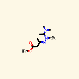 C/C(CC(=O)OC(C)C)=N\N(C(C)N(C)C)C(C)(C)C